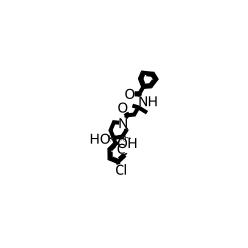 CC(C)(CC(=O)N1CC[C@](O)(c2ccc(Cl)cc2)[C@](C)(O)C1)NC(=O)c1ccccc1